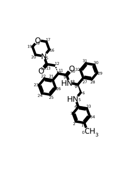 Cc1ccc(NC[C@@H](NC(=O)[C@@H](CC(=O)N2CCOCC2)c2ccccc2)c2ccccc2)cc1